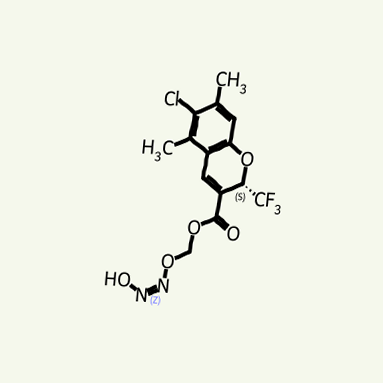 Cc1cc2c(c(C)c1Cl)C=C(C(=O)OCO/N=N\O)[C@@H](C(F)(F)F)O2